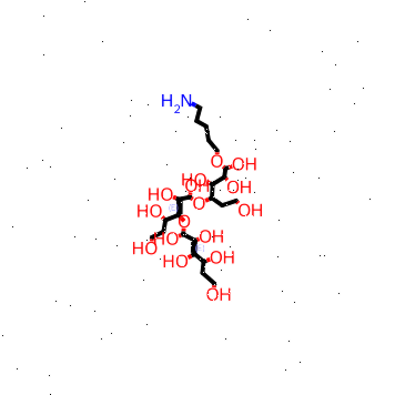 NCCCCCOC(O)C(O)C(O)C(CCO)OC(O)/C(O)=C(\OC(O)/C(O)=C(\O)C(O)CCO)C(O)CCO